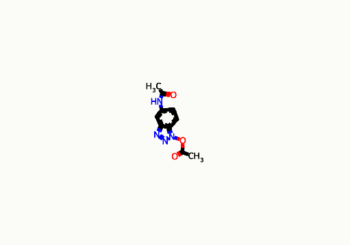 CC(=O)Nc1ccc2c(c1)nnn2OC(C)=O